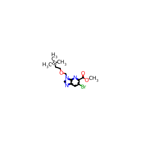 COC(=O)c1nc2c(cc1Br)ncn2COCC[Si](C)(C)C